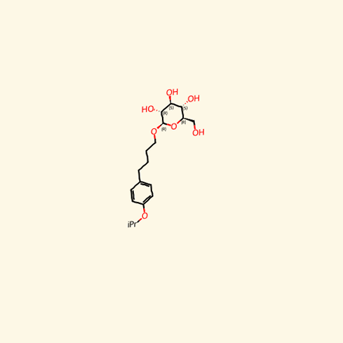 CC(C)Oc1ccc(CCCCO[C@@H]2O[C@H](CO)[C@@H](O)[C@H](O)[C@H]2O)cc1